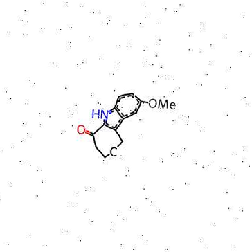 COc1ccc2[nH]c3c(c2c1)CCCCC3=O